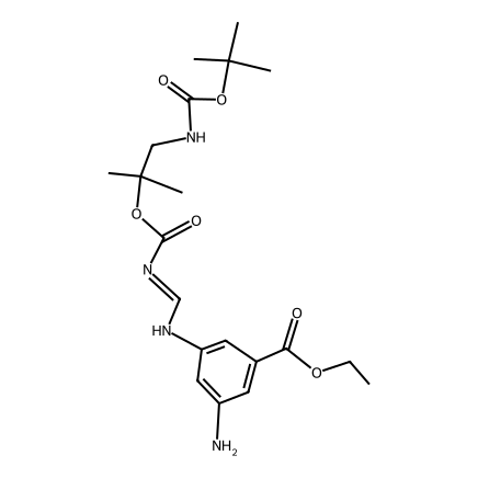 CCOC(=O)c1cc(N)cc(NC=NC(=O)OC(C)(C)CNC(=O)OC(C)(C)C)c1